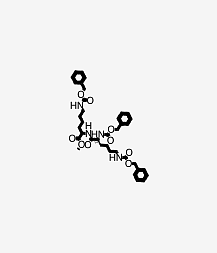 COC(=O)C(CCCCNC(=O)OCc1ccccc1)NC(=O)[C@H](CCCCNC(=O)OCc1ccccc1)NC(=O)OCc1ccccc1